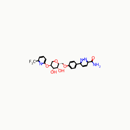 NC(=O)c1ccc(-c2ccc(OC[C@H]3OC[C@H](Oc4cccc(C(F)(F)F)n4)[C@@H](O)[C@H]3O)cc2)nn1